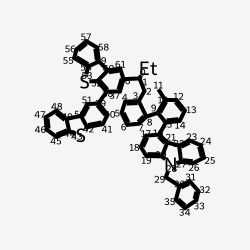 CCC(Cc1ccccc1-c1c(C)cccc1-c1cccc2c1c1ccccc1n2Cc1ccccc1)c1cc(-c2ccc3sc4ccccc4c3c2)c2sc3ccccc3c2c1